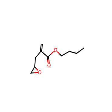 C=C(CC1CO1)C(=O)OCCCC